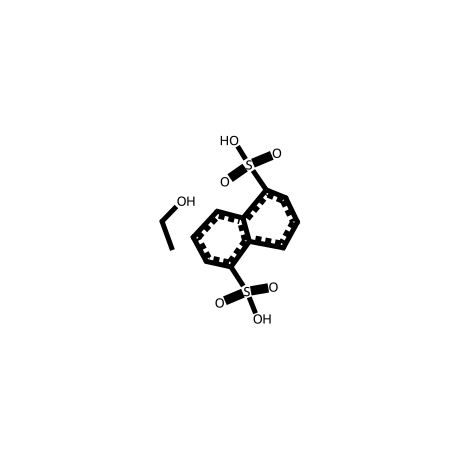 CCO.O=S(=O)(O)c1cccc2c(S(=O)(=O)O)cccc12